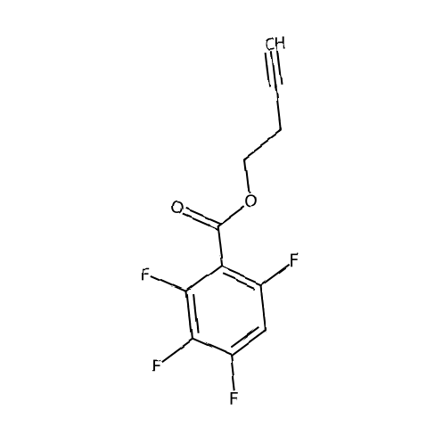 C#CCCOC(=O)c1c(F)cc(F)c(F)c1F